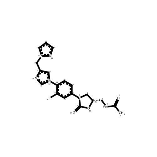 CC(=O)NC[C@H]1CN(c2ccc(-n3cnc(Cn4cccn4)c3)c(F)c2)C(=O)O1